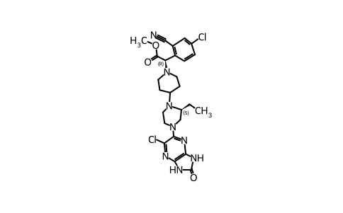 CC[C@H]1CN(c2nc3[nH]c(=O)[nH]c3nc2Cl)CCN1C1CCN([C@@H](C(=O)OC)c2ccc(Cl)cc2C#N)CC1